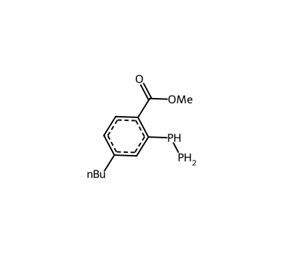 CCCCc1ccc(C(=O)OC)c(PP)c1